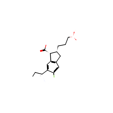 CC[C@@H](N)c1cc2c(cc1F)C[C@H](CCCB(O)O)[C@@H]2C(=O)O